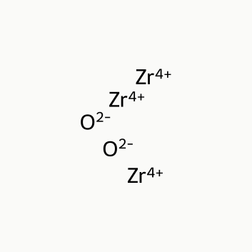 [O-2].[O-2].[Zr+4].[Zr+4].[Zr+4]